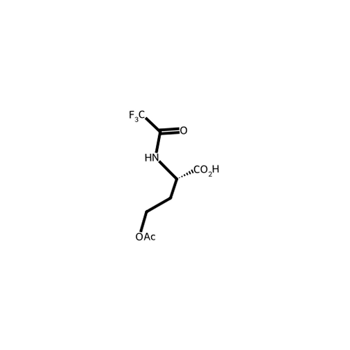 CC(=O)OCC[C@H](NC(=O)C(F)(F)F)C(=O)O